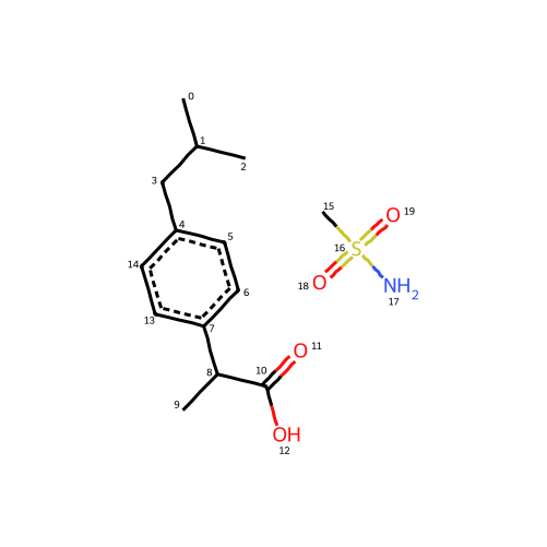 CC(C)Cc1ccc(C(C)C(=O)O)cc1.CS(N)(=O)=O